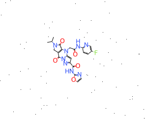 CC(C)N1Cc2c(n(CC(=O)Nc3ccc(F)cn3)c3cc(C(=O)Nc4ncco4)nn3c2=O)C1=O